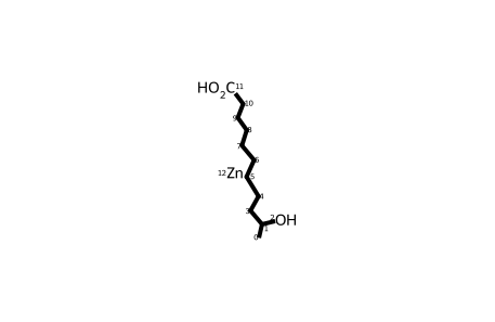 CC(O)CCCCCCCCC(=O)O.[Zn]